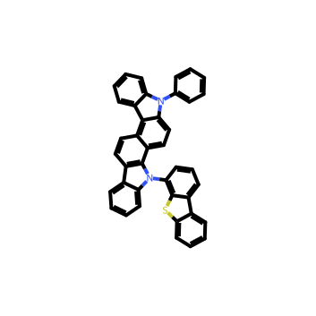 c1ccc(-n2c3ccccc3c3c4ccc5c6ccccc6n(-c6cccc7c6sc6ccccc67)c5c4ccc32)cc1